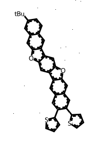 CC(C)(C)c1ccc2cc3c(cc2c1)oc1cc2c(cc13)oc1cc3cc(-c4cccs4)c(-c4cccs4)cc3cc12